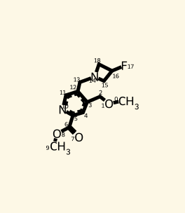 COCc1cc(C(=O)OC)ncc1CN1CC(F)C1